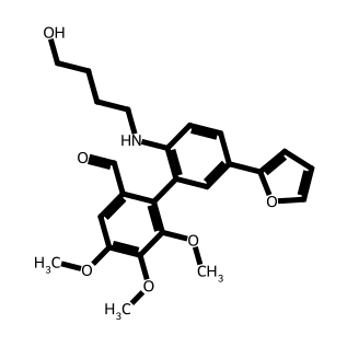 COc1cc(C=O)c(-c2cc(-c3ccco3)ccc2NCCCCO)c(OC)c1OC